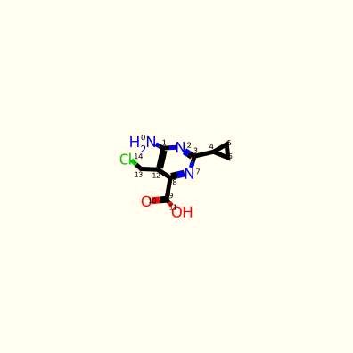 Nc1nc(C2CC2)nc(C(=O)O)c1CCl